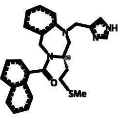 CSCC[C@H]1CN(Cc2c[nH]cn2)c2ccccc2CN1C(=O)c1cccc2ccccc12